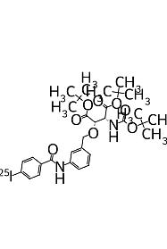 CC(C)(C)OC(=O)N[C@@H](C(=O)OC(C)(C)C)[C@H](OCc1cccc(NC(=O)c2ccc([125I])cc2)c1)C(=O)OC(C)(C)C